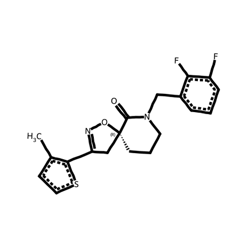 Cc1ccsc1C1=NO[C@]2(CCCN(Cc3cccc(F)c3F)C2=O)C1